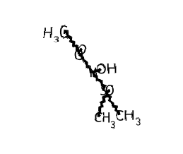 CCCCCCCCCC(=O)OCCCCCCN(CCO)CCCCCCSC(=O)C(CCCCCCCC)CCCCCCCC